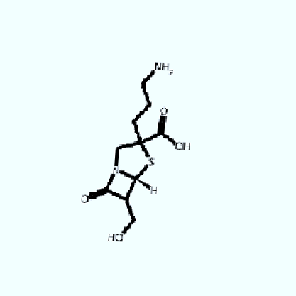 NCCCC1(C(=O)O)CN2C(=O)C(CO)[C@H]2S1